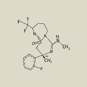 CNC1=N[C@](C)(c2ccccc2F)CS2(=O)=NC(C(F)(F)F)CCCN12